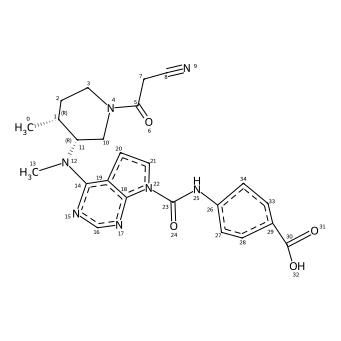 C[C@@H]1CCN(C(=O)CC#N)C[C@@H]1N(C)c1ncnc2c1ccn2C(=O)Nc1ccc(C(=O)O)cc1